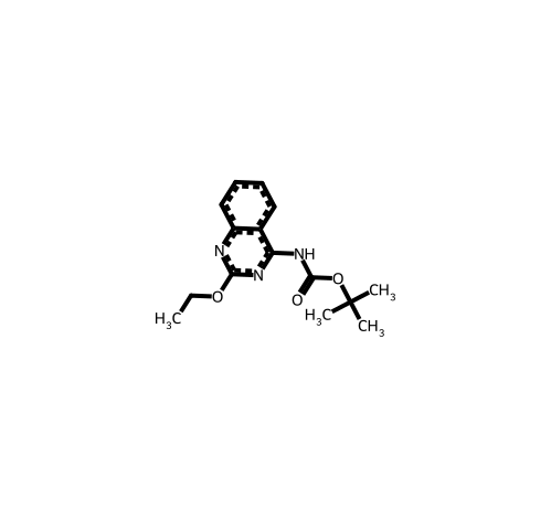 CCOc1nc(NC(=O)OC(C)(C)C)c2ccccc2n1